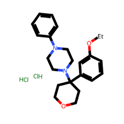 CCOc1cccc(C2(N3CCN(c4ccccc4)CC3)CCOCC2)c1.Cl.Cl